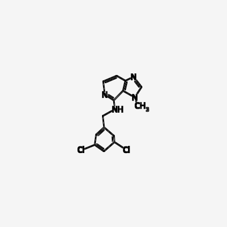 Cn1cnc2ccnc(NCc3cc(Cl)cc(Cl)c3)c21